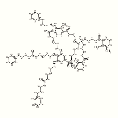 Cc1cccc(C(=O)CCCCC(CCCCC(=O)c2cccc(C)c2C)(CCCCC(=O)c2cccc(C)c2C)C(=O)CCCCCC(=O)c2cc(OCCOCCC(=O)CCCC[n+]3ccccc3)c(OCCOCCC(=O)CCCC[n+]3ccccc3)c(OCCOCCC(=O)CCCC[n+]3ccccc3)c2)c1C